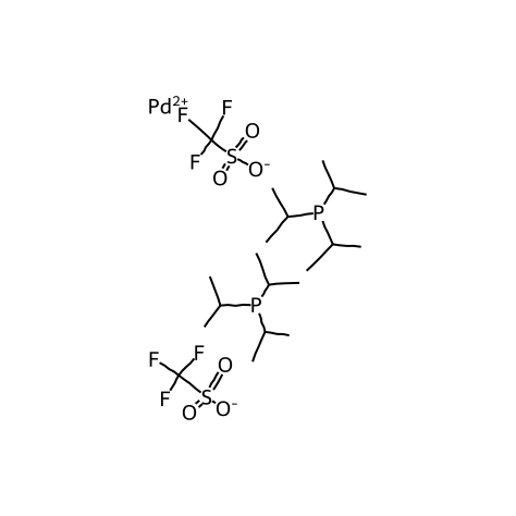 CC(C)P(C(C)C)C(C)C.CC(C)P(C(C)C)C(C)C.O=S(=O)([O-])C(F)(F)F.O=S(=O)([O-])C(F)(F)F.[Pd+2]